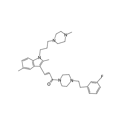 Cc1ccc2c(c1)c(/C=C/C(=O)N1CCN(CCc3cccc(F)c3)CC1)c(C)n2CCCN1CCN(C)CC1